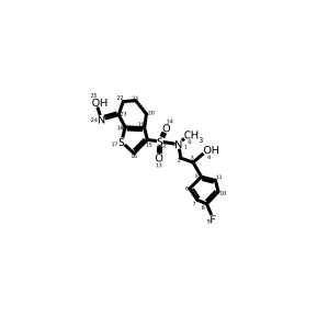 CN(CC(O)c1ccc(F)cc1)S(=O)(=O)c1csc2c1CCC/C2=N\O